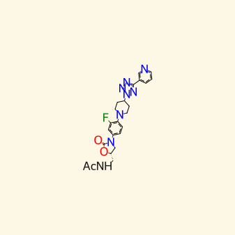 CC(=O)NC[C@H]1CN(c2ccc(N3CCC(n4nnc(-c5cccnc5)n4)CC3)c(F)c2)C(=O)O1